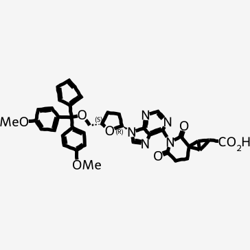 COc1ccc(C(OC[C@@H]2CC[C@H](n3cnc4c(N5C(=O)CCC6(C5=O)C5C(C(=O)O)C56)ncnc43)O2)(c2ccccc2)c2ccc(OC)cc2)cc1